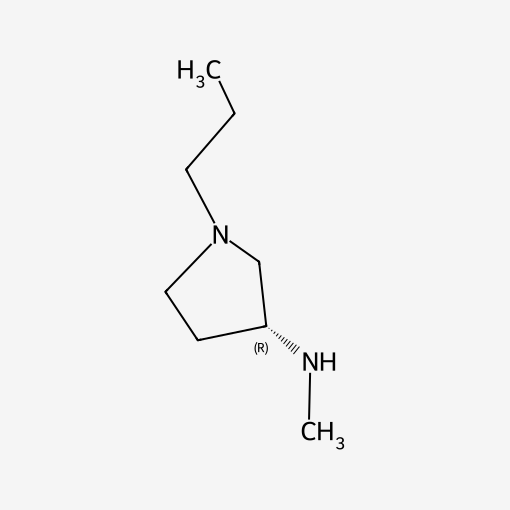 CCCN1CC[C@@H](NC)C1